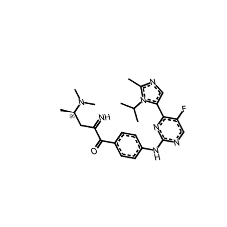 Cc1ncc(-c2nc(Nc3ccc(C(=O)C(=N)C[C@@H](C)N(C)C)cc3)ncc2F)n1C(C)C